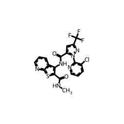 CNC(=O)c1sc2ncccc2c1NC(=O)c1cc(C(F)(F)F)nn1-c1ncccc1Cl